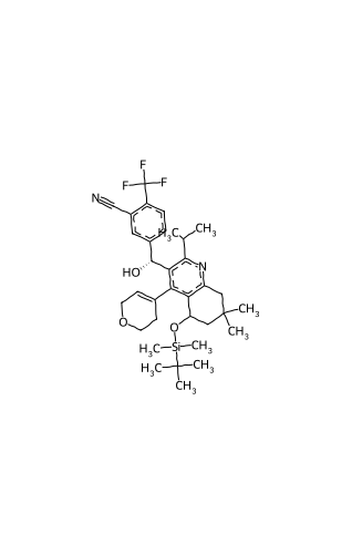 CC(C)c1nc2c(c(C3=CCOCC3)c1[C@H](O)c1ccc(C(F)(F)F)c(C#N)c1)C(O[Si](C)(C)C(C)(C)C)CC(C)(C)C2